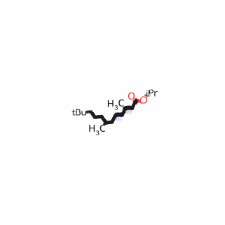 CC(/C=C/CC(C)CCCC(C)(C)C)=C\C(=O)OC(C)C